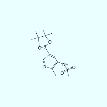 Cc1ncc(B2OC(C)(C)C(C)(C)O2)cc1NS(C)(=O)=O